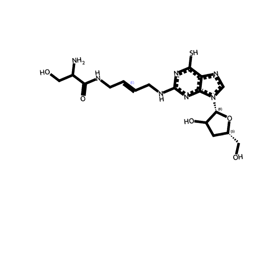 NC(CO)C(=O)NC/C=C/CNc1nc(S)c2ncn([C@@H]3O[C@H](CO)CC3O)c2n1